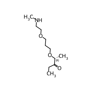 CCC(=O)[C@@H](C)OCCCOCCNC